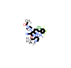 C=CC(=O)N1CCN(c2c(C#N)c(=O)n(C3=C(C)C=CN(C)C3C(C)C)c3nc(-c4c(N)c(F)c(F)c(F)c4Cl)c(Cl)cc23)CC1